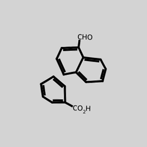 O=C(O)c1ccccc1.O=Cc1cccc2ccccc12